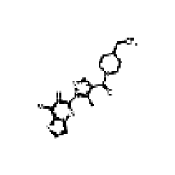 Cc1c(C(=O)N2CCC(CC(F)(F)F)CC2)cnn1-c1nc2ccsc2c(=O)[nH]1